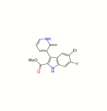 C=C1NC=CC=C1c1c(C(=O)OC)[nH]c2cc(F)c(CC)cc12